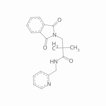 CC(C)(CN1C(=O)c2ccccc2C1=O)C(=O)NCc1ccccn1